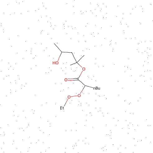 CCCCC(OOCC)C(=O)OC(C)(C)CC(C)O